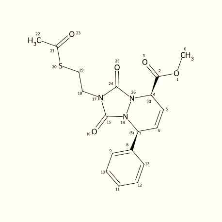 COC(=O)[C@H]1C=C[C@@H](c2ccccc2)n2c(=O)n(CCSC(C)=O)c(=O)n21